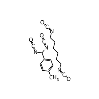 Cc1ccc(C(N=C=O)N=C=O)cc1.O=C=NCCCCCCN=C=O